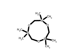 C[Si]1(C)CO[Si](C)(C)CO[Si](C)(C)CO1